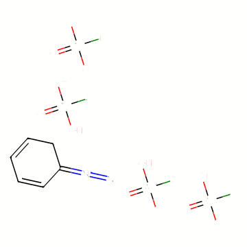 O=[As](O)(O)F.O=[As](O)(O)F.O=[As](O)(O)F.O=[As](O)(O)F.[N-]=[N+]=C1C=CC=CC1